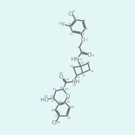 O=C(COc1ccc(Cl)c(F)c1)NC12CCC1C(NC(=O)[C@@H]1C[C@H](O)c3cc(Cl)ccc3O1)C2